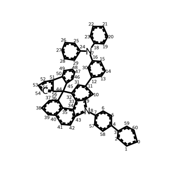 c1ccc(-c2ccc(-n3c4cc(-c5cccc(N(c6ccccc6)c6ccccc6)c5)cc5c4c4c6c(cccc6ccc43)C53c4ccccc4-c4ccccc43)cc2)cc1